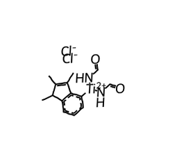 CC1=C(C)C(C)c2ccc[c]([Ti+2]([NH]C=O)[NH]C=O)c21.[Cl-].[Cl-]